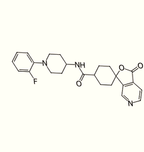 O=C1OC2(CCC(C(=O)NC3CCN(c4ccccc4F)CC3)CC2)c2cnccc21